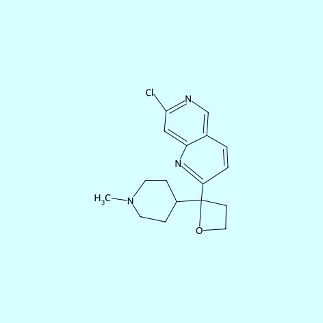 CN1CCC(C2(c3ccc4cnc(Cl)cc4n3)CCO2)CC1